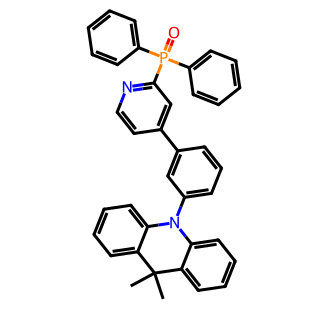 CC1(C)c2ccccc2N(c2cccc(-c3ccnc(P(=O)(c4ccccc4)c4ccccc4)c3)c2)c2ccccc21